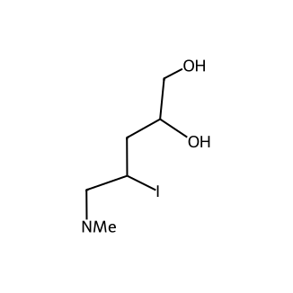 CNCC(I)CC(O)CO